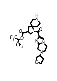 O=C(OC(C(F)(F)F)C(F)(F)F)C1CN(C(=O)c2cn3c(n2)CN(C2CCOC2)CC3)C2(CCNCC2)C1